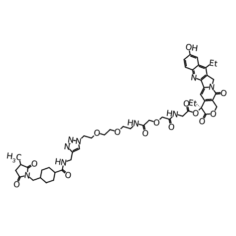 CCc1c2c(nc3ccc(O)cc13)-c1cc3c(c(=O)n1C2)COC(=O)[C@@]3(CC)OC(=O)CNC(=O)COCC(=O)NCCOCCOCCn1cc(CNC(=O)C2CCC(CN3C(=O)CC(C)C3=O)CC2)nn1